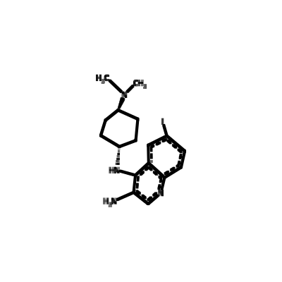 CN(C)[C@H]1CC[C@H](Nc2c(N)cnc3ccc(I)cc23)CC1